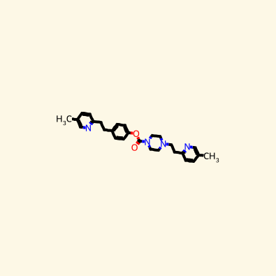 Cc1ccc(CCc2ccc(OC(=O)N3CCN(CCc4ccc(C)cn4)CC3)cc2)nc1